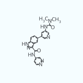 CN(C)C(=O)Nc1cncc(-c2ccc3[nH]nc(C(=O)Nc4ccnnc4)c3c2)c1